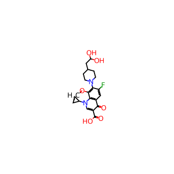 COc1c(N2CCC(CC(O)O)CC2)c(F)cc2c(=O)c(C(=O)O)cn(C3CC3)c12